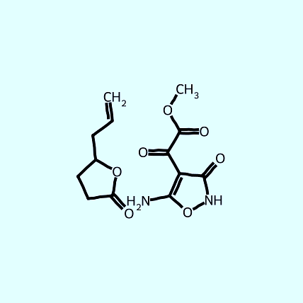 C=CCC1CCC(=O)O1.COC(=O)C(=O)c1c(N)o[nH]c1=O